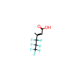 C/C(=C\C(=O)O)C(F)(F)C(F)(F)C(F)(F)F